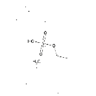 CCOS(=O)(=O)O.O